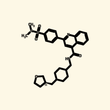 CN(C)S(=O)(=O)c1ccc(-c2cc(C(=O)NCC3CCC(C[C@H]4CCOC4)CC3)c3ccccc3n2)cc1